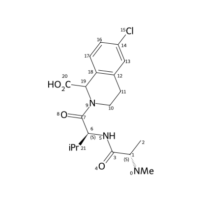 CN[C@@H](C)C(=O)N[C@H](C(=O)N1CCc2cc(Cl)ccc2C1C(=O)O)C(C)C